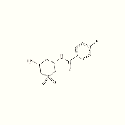 N[C@@H]1C[C@H](NC(=O)c2ccc(F)cc2)CS(=O)(=O)C1